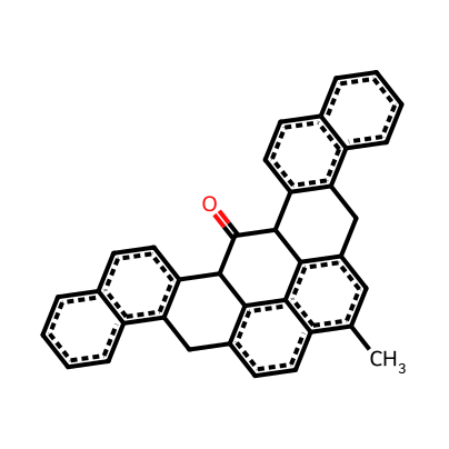 Cc1cc2c3c4c5c(ccc14)Cc1c(ccc4ccccc14)C5C(=O)C3c1ccc3ccccc3c1C2